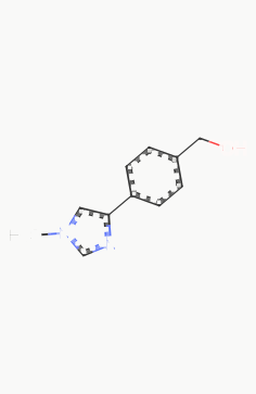 Cn1cnc(-c2ccc(CO)cc2)c1